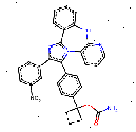 NC(=O)OC1(c2ccc(-c3c(-c4cccc([N+](=O)[O-])c4)nc4n3-c3cccnc3Nc3ccccc3-4)cc2)CCC1